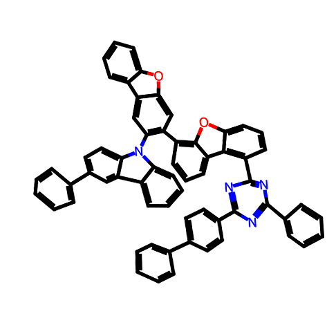 c1ccc(-c2ccc(-c3nc(-c4ccccc4)nc(-c4cccc5oc6c(-c7cc8oc9ccccc9c8cc7-n7c8ccccc8c8cc(-c9ccccc9)ccc87)cccc6c45)n3)cc2)cc1